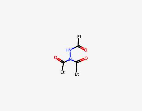 CCC(=O)NN(C(=O)CC)C(=O)CC